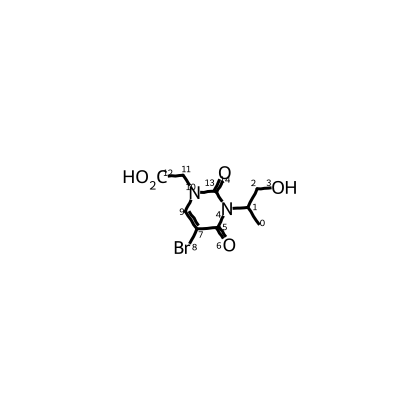 CC(CO)n1c(=O)c(Br)cn(CC(=O)O)c1=O